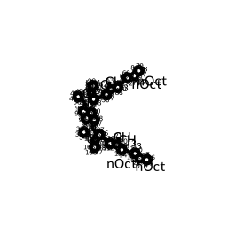 CCCCCCCCC1(CCCCCCCC)c2ccccc2-c2ccc(-c3ccc4c(c3)C(C)(C)c3cc(-c5ccc(N(c6ccccc6)c6ccc7ccc8c(N(c9ccccc9)c9ccc(-c%10ccc%11c(c%10)C(C)(C)c%10cc(-c%12ccc%13c(c%12)C(CCCCCCCC)(CCCCCCCC)c%12ccccc%12-%13)ccc%10-%11)c%10c9oc9ccccc9%10)ccc9ccc6c7c98)c6oc7ccccc7c56)ccc3-4)cc21